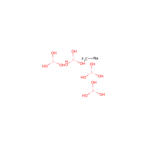 F[C](F)(F)[Na].OB(O)O.OB(O)O.OB(O)O.OB(O)O